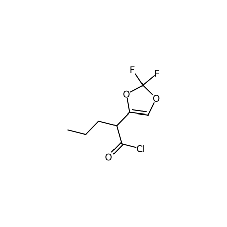 CCCC(C(=O)Cl)C1=COC(F)(F)O1